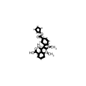 COc1cccc(C(=O)O)c1C(N)c1cn(C)c2ccc(C(=O)OC3CCCC3)cc12